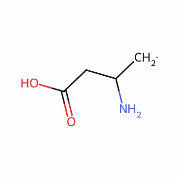 [CH2]C(N)CC(=O)O